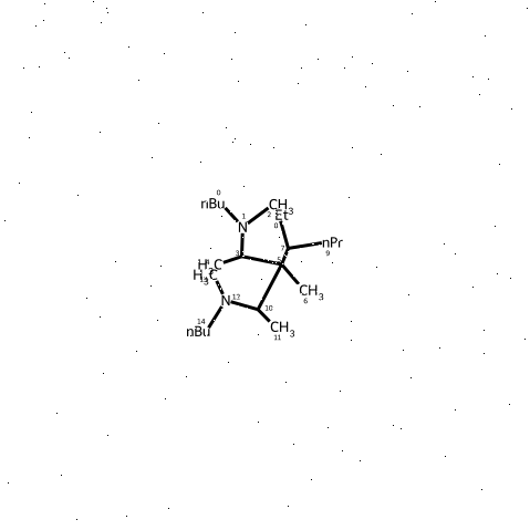 CCCCN(C)C(C)C(C)(C(CC)CCC)C(C)N(C)CCCC